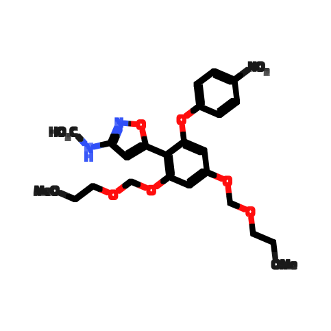 COCCOCOc1cc(OCOCCOC)c(-c2cc(NC(=O)O)no2)c(Oc2ccc([N+](=O)[O-])cc2)c1